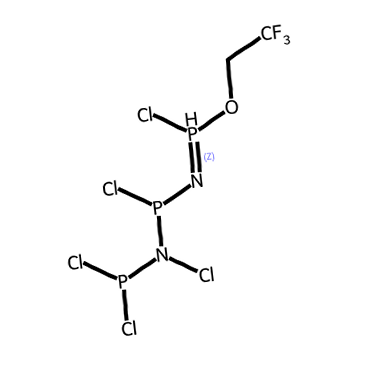 FC(F)(F)CO/[PH](Cl)=N/P(Cl)N(Cl)P(Cl)Cl